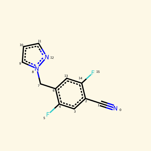 N#Cc1cc(F)c(Cn2cccn2)cc1F